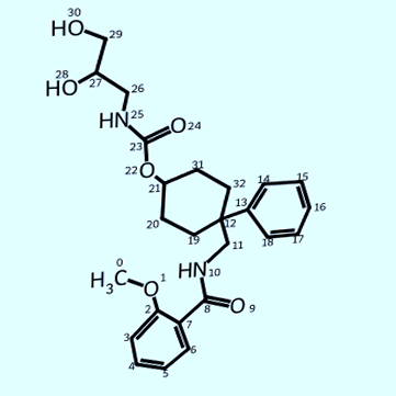 COc1ccccc1C(=O)NCC1(c2ccccc2)CCC(OC(=O)NCC(O)CO)CC1